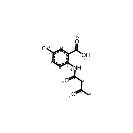 CC(=O)CC(=O)Nc1ccc(Cl)cc1C(=O)O